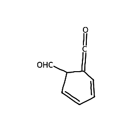 O=C=C1C=CC=CC1C=O